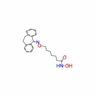 O=C(CCCCCCON=C1c2ccccc2CCc2ccccc21)NO